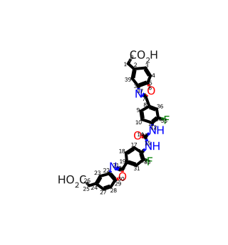 O=C(O)Cc1ccc2oc(-c3ccc(NC(=O)Nc4ccc(-c5nc6cc(CC(=O)O)ccc6o5)cc4F)c(F)c3)nc2c1